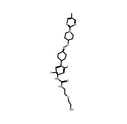 Cc1cnc(N2CCC(ON=C3CCC(c4cc(F)c(NC(=O)NCCOCCO)cc4F)CC3)CC2)nc1